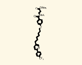 COC(=O)CCNC(=O)c1ccc(OCCCCCCCc2ccc(-c3ccc(C(F)(F)F)cc3)nc2)cc1